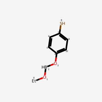 CCOBOc1ccc(S)cc1